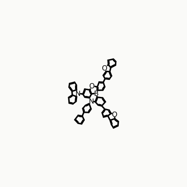 c1ccc(-c2ccc(N3c4cc(-c5ccc6c(c5)oc5ccccc56)ccc4B4c5ccc(-c6ccc7c(c6)oc6ccccc67)cc5Oc5cc(-n6c7ccccc7c7ccccc76)cc3c54)cc2)cc1